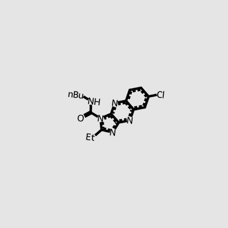 CCCCNC(=O)n1c(CC)nc2nc3cc(Cl)ccc3nc21